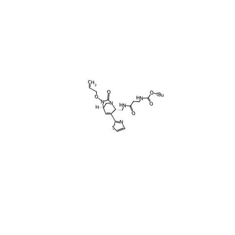 C=CCON1C(=O)N2C[C@H]1C=C(c1nccs1)[C@H]2CNC(=O)CCNC(=O)OC(C)(C)C